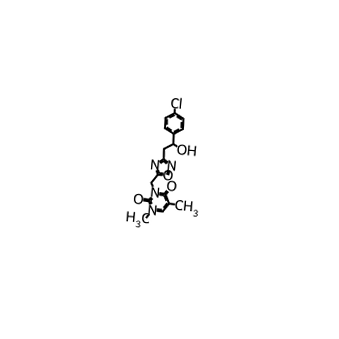 Cc1cn(C)c(=O)n(Cc2nc(CC(O)c3ccc(Cl)cc3)no2)c1=O